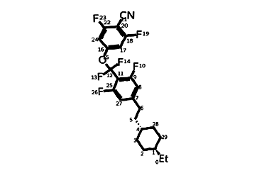 CC[C@H]1CC[C@H](CCc2cc(F)c(C(F)(F)Oc3cc(F)c(C#N)c(F)c3)c(F)c2)CC1